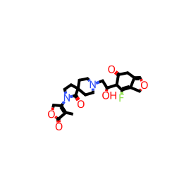 CC1=C(N2CCC3(CCN(CC(O)C4C(=O)CC5=COCC5=C4F)CC3)C2=O)COC1=O